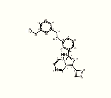 N[N+]12C=CN=CC1=C(C1=CC=C1)N=C2c1cccc(OCc2cccc(CO)c2)c1